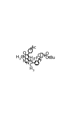 CC(=O)N1CCC(c2cc3c(N[C@H](C)c4cccc(C(F)(F)C5CN(C(=O)OC(C)(C)C)CCO5)c4F)ncnc3n(C)c2=O)CC1